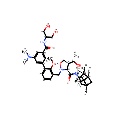 COc1c(CN2OC[C@@H]([C@H](C)O)[C@H]2C(=O)N[C@H]2C[C@H]3C[C@@H]([C@@H]2C)C3(C)C)cccc1-c1cc(C(=O)NC(CO)CO)cc(N(C)C)c1